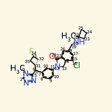 Cn1cnnc1[C@H](c1cccc(N2Cc3c(Cl)cc(CNC4(C)CCC4)cc3C2=O)c1)[C@H]1C[C@@H](F)C1